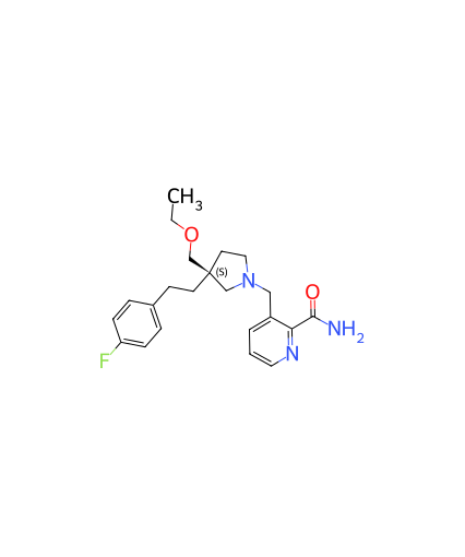 CCOC[C@@]1(CCc2ccc(F)cc2)CCN(Cc2cccnc2C(N)=O)C1